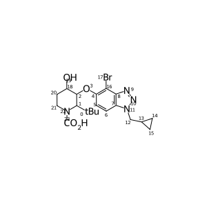 CC(C)(C)C1C(Oc2ccc3c(nnn3CC3CC3)c2Br)C(O)CCN1C(=O)O